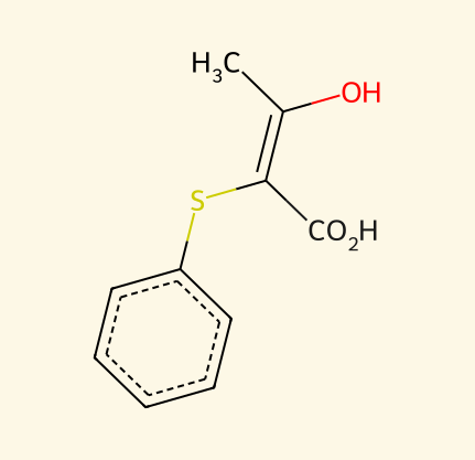 C/C(O)=C(\Sc1ccccc1)C(=O)O